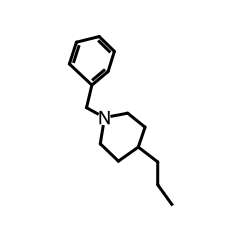 CCCC1CCN(Cc2ccccc2)CC1